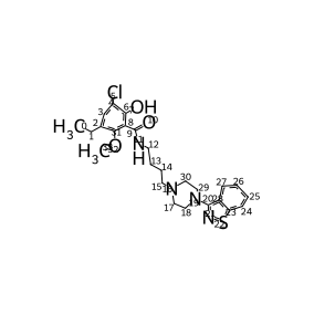 CCc1cc(Cl)c(O)c(C(=O)NCCCCN2CCN(c3nsc4ccccc34)CC2)c1OC